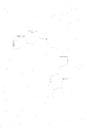 CC(=O)Nc1ccn([C@@H]2S[C@H](COC(=O)c3ccc4ccccc4c3)C[C@@H]2F)c(=O)n1